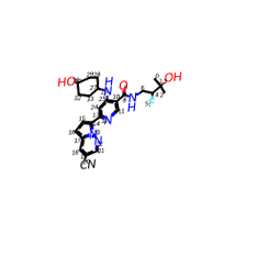 CC(C)(O)C(F)CNC(=O)c1cnc(-c2ccc3cc(C#N)cnn23)cc1NC1CCC(O)CC1